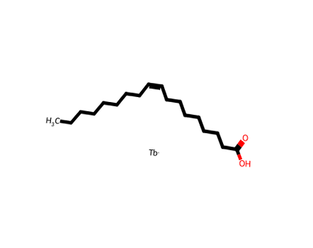 CCCCCCCC/C=C\CCCCCCCC(=O)O.[Tb]